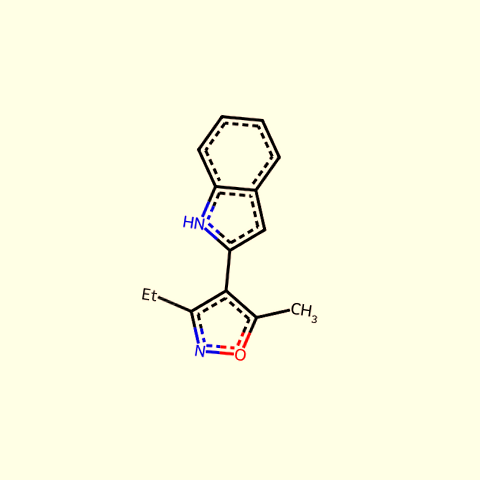 CCc1noc(C)c1-c1cc2ccccc2[nH]1